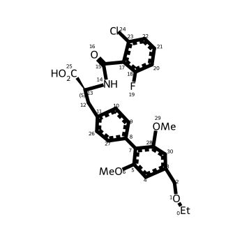 CCOCc1cc(OC)c(-c2ccc(C[C@H](NC(=O)c3c(F)cccc3Cl)C(=O)O)cc2)c(OC)c1